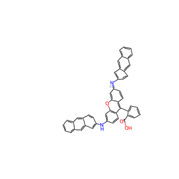 O=C(O)c1ccccc1-c1c2cc/c(=N\c3ccc4cc5ccccc5cc4c3)cc-2oc2cc(Nc3ccc4cc5ccccc5cc4c3)ccc12